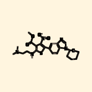 COC(=O)c1c(N(C)CCN(C)C)sc(-c2ccc3c(c2)ncn3C2CCCCC2)c1[N+](=O)[O-]